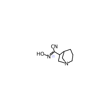 N#C/C(=N\O)C1CN2CCCC1C2